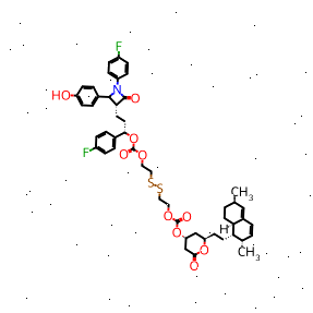 C[C@H]1C=C2C=C[C@H](C)[C@H](CC[C@@H]3C[C@@H](OC(=O)OCCSSCCOC(=O)O[C@@H](CC[C@H]4C(=O)N(c5ccc(F)cc5)C4c4ccc(O)cc4)c4ccc(F)cc4)CC(=O)O3)[C@H]2CC1